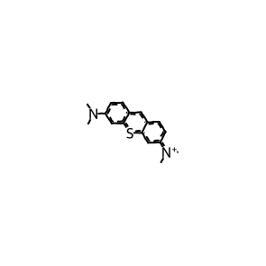 CN(C)c1ccc2cc3ccc(=[N+](C)C)cc-3sc2c1